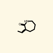 CC=C1CCCCNC1=O